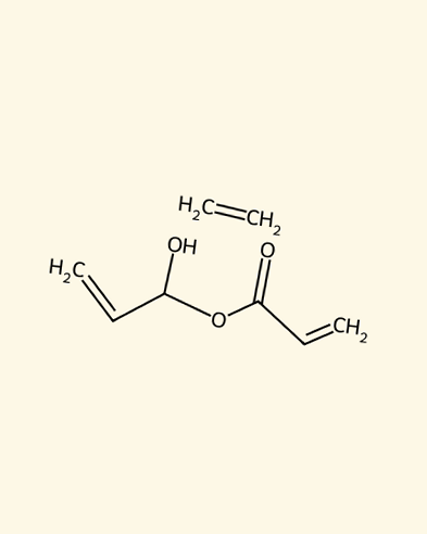 C=C.C=CC(=O)OC(O)C=C